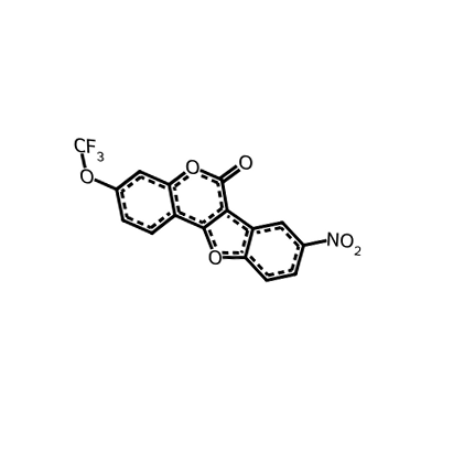 O=c1oc2cc(OC(F)(F)F)ccc2c2oc3ccc([N+](=O)[O-])cc3c12